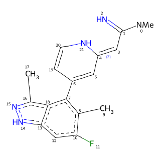 CNC(=N)/C=C1/C=C(c2c(C)c(F)cc3[nH]nc(C)c23)C=CN1